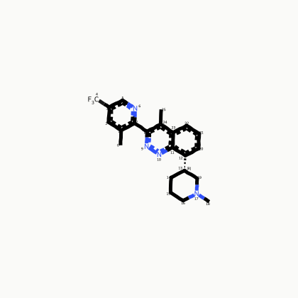 Cc1cc(C(F)(F)F)cnc1-c1nnc2c([C@H]3CCCN(C)C3)cccc2c1C